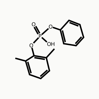 Cc1cccc(C)c1OP(=O)(O)Oc1ccccc1